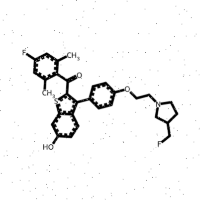 Cc1cc(F)cc(C)c1C(=O)c1sc2cc(O)ccc2c1-c1ccc(OCCN2CCC(CF)C2)cc1